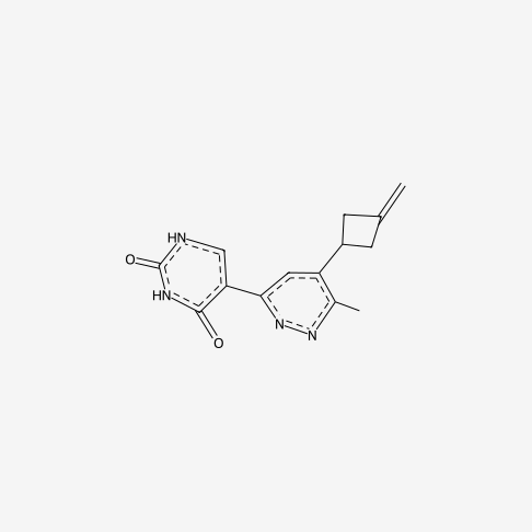 C=C1CC(c2cc(-c3c[nH]c(=O)[nH]c3=O)nnc2C)C1